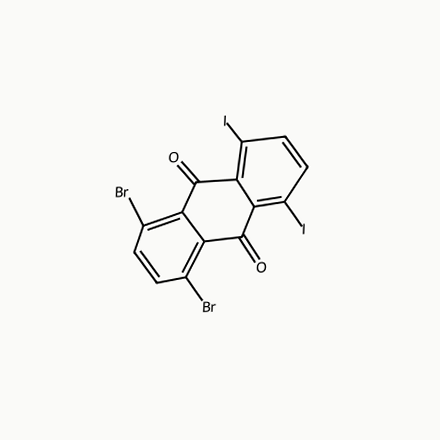 O=C1c2c(Br)ccc(Br)c2C(=O)c2c(I)ccc(I)c21